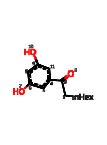 CCCCCCCC(=O)c1cc(O)cc(O)c1